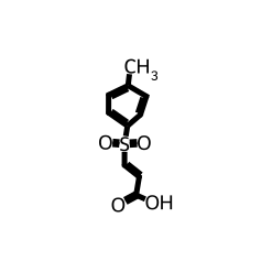 Cc1ccc(S(=O)(=O)C=CC(=O)O)cc1